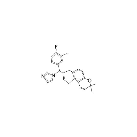 Cc1cc(C(C2=CCc3c(ccc4c3C=CC(C)(C)O4)C2)n2ccnc2)ccc1F